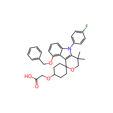 CC1(C)COC2(CCC(OCC(=O)O)CC2)c2c1n(-c1ccc(F)cc1)c1cccc(OCc3ccccc3)c21